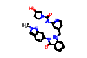 Cn1cc2ccc(NC(=O)c3ccccc3NCc3ccnc(NC(=O)N4CCC(O)C4)c3)cc2n1